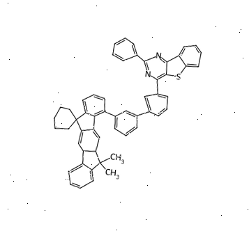 CC1(C)c2ccccc2C2C=C3C(=CC21)c1c(-c2cccc(-c4cccc(-c5nc(-c6ccccc6)nc6c5sc5ccccc56)c4)c2)cccc1C31CCCCC1